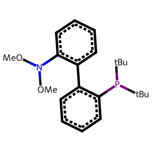 CON(OC)c1ccccc1-c1ccccc1P(C(C)(C)C)C(C)(C)C